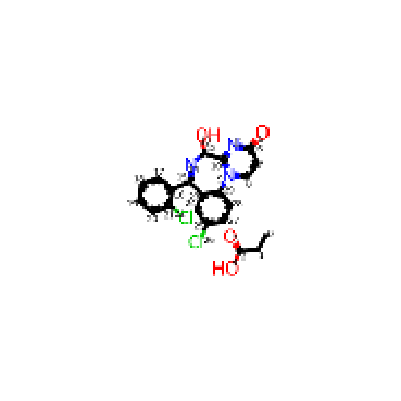 CCC(=O)O.O=c1ccn2c(n1)C(O)N=C(c1ccccc1Cl)c1cc(Cl)ccc1-2